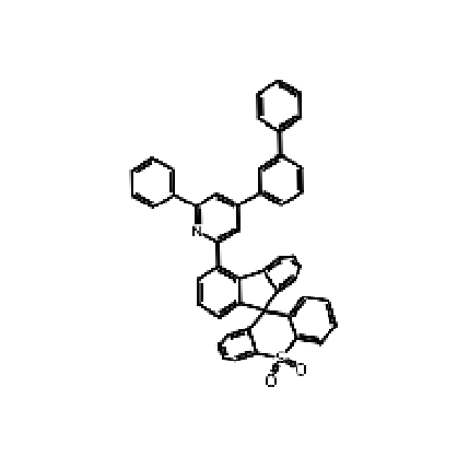 O=S1(=O)c2ccccc2C2(c3ccccc3-c3c(-c4cc(-c5cccc(-c6ccccc6)c5)cc(-c5ccccc5)n4)cccc32)c2ccccc21